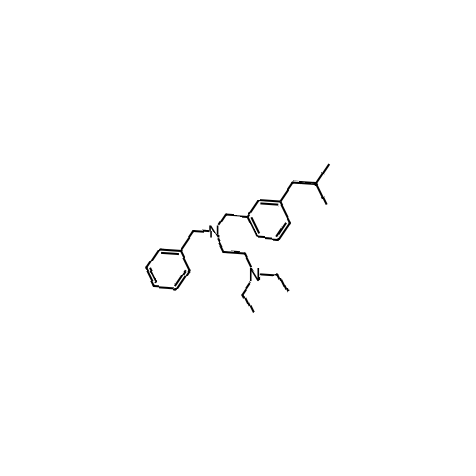 CCN(CC)CCN(Cc1ccccc1)Cc1cccc(CC(C)C)c1